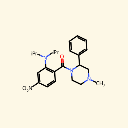 CC(C)N(c1cc([N+](=O)[O-])ccc1C(=O)N1CCN(C)CC1c1ccccc1)C(C)C